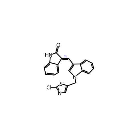 O=C1Nc2ccccc2/C1=C\c1cn(Cc2cnc(Cl)s2)c2ccccc12